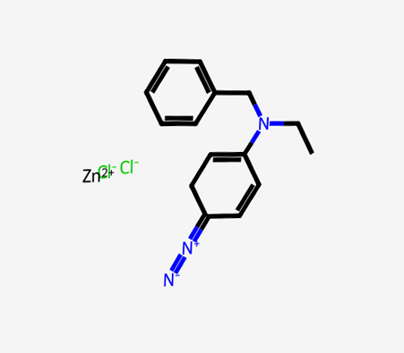 CCN(Cc1ccccc1)C1=CCC(=[N+]=[N-])C=C1.[Cl-].[Cl-].[Zn+2]